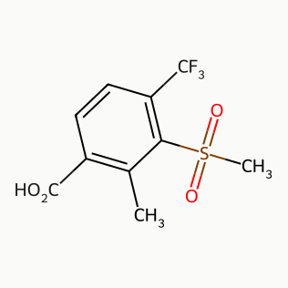 Cc1c(C(=O)O)ccc(C(F)(F)F)c1S(C)(=O)=O